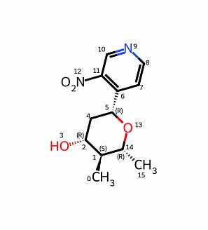 C[C@H]1[C@H](O)C[C@H](c2ccncc2[N+](=O)[O-])O[C@@H]1C